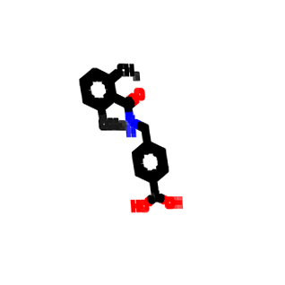 COc1cccc(C)c1C(=O)NCc1ccc(B(O)O)cc1